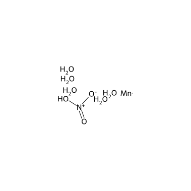 O.O.O.O.O.O=[N+]([O-])O.[Mn]